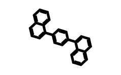 c1ccc2c(-c3ccc(-c4cccc5ccccc45)cc3)cccc2c1